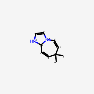 CC1(C)C=CC2NC=CN2C=C1